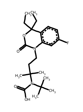 CCC1(CC)OC(=O)N(CCC(C)(C)N(C(=O)O)C(C)(C)C)c2cc(F)ccc21